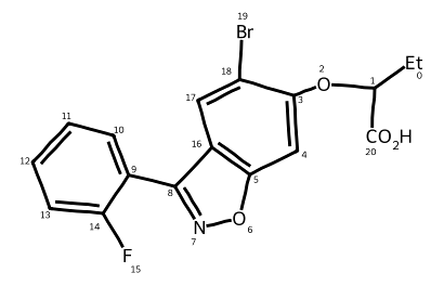 CCC(Oc1cc2onc(-c3ccccc3F)c2cc1Br)C(=O)O